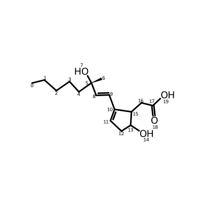 CCCCC[C@](C)(O)C=CC1=CCC(O)C1CC(=O)O